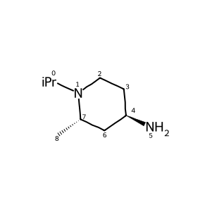 CC(C)N1CC[C@@H](N)C[C@@H]1C